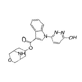 O=C(OC1CC2COCC(C1)N2)c1cn(-c2ccc(O)nn2)c2ccccc12